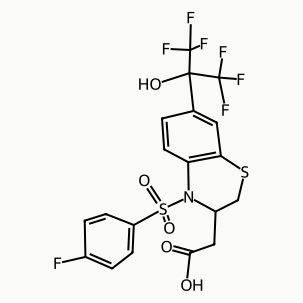 O=C(O)CC1CSc2cc(C(O)(C(F)(F)F)C(F)(F)F)ccc2N1S(=O)(=O)c1ccc(F)cc1